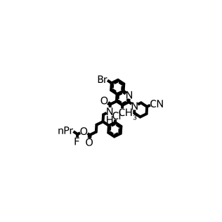 CCCC(F)OC(=O)CCC(CNC(=O)c1c(C)c(N2CCCC(C#N)C2)nc2ccc(Br)cc12)c1ccccc1Cl